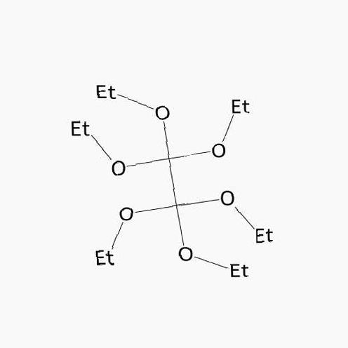 CCOC(OCC)(OCC)C(OCC)(OCC)OCC